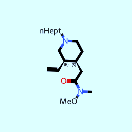 C=C[C@H]1CN(CCCCCCC)CC[C@H]1CC(=O)N(C)OC